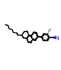 CCCCCCCC1CCc2c(ccc3cc(-c4ccc(C#N)c(F)c4)ccc23)C1